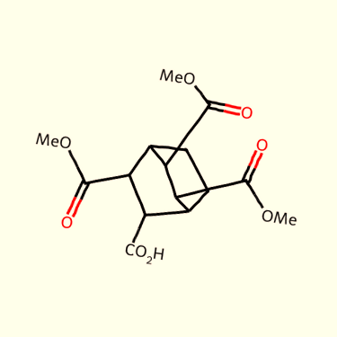 COC(=O)C1C2CCC(C1C(=O)O)C(C(=O)OC)C2C(=O)OC